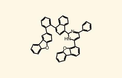 C1=C(c2cccc3c2oc2ccccc23)NC(c2ccc(-c3ccccc3-c3ccc4oc5ccccc5c4c3)c3ccccc23)N=C1c1ccccc1